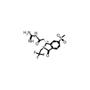 CS(=O)(=O)c1ccc2c(c1)[C@@H](CC(=O)NC(=N)N)N(CC(F)(F)F)C2=O